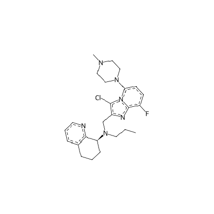 CCCN(Cc1nc2c(F)ccc(N3CCN(C)CC3)n2c1Cl)[C@H]1CCCc2cccnc21